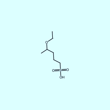 C[CH]OC(C)CCCS(=O)(=O)O